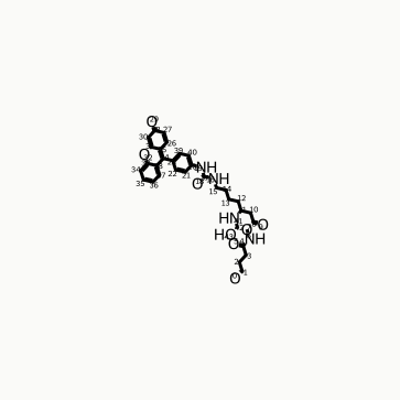 O=CCCC(=O)NOC(=O)CC(CCCCNC(=O)Nc1ccc(-c2c3ccc(=O)cc-3oc3ccccc23)cc1)NCO